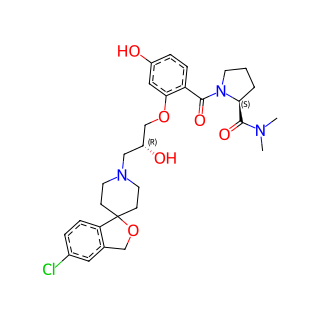 CN(C)C(=O)[C@@H]1CCCN1C(=O)c1ccc(O)cc1OC[C@H](O)CN1CCC2(CC1)OCc1cc(Cl)ccc12